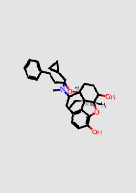 CC[C@]12c3c4ccc(O)c3O[C@H]1C(O)CC[C@@]2(OCCCc1ccccc1)C(N(C)CC1CC1)C4